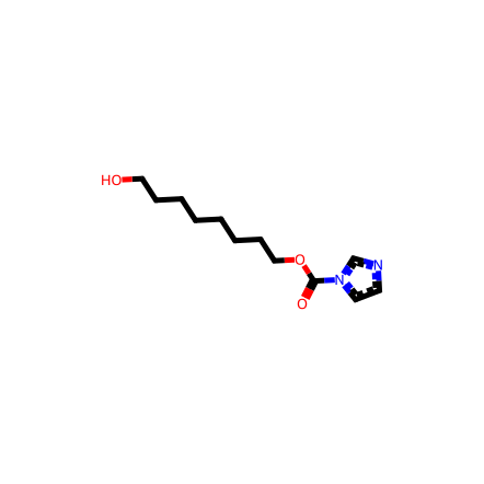 O=C(OCCCCCCCCO)n1ccnc1